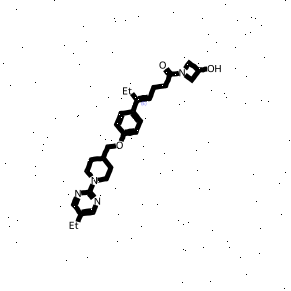 CC/C(=C\CCC(=O)N1CC(O)C1)c1ccc(OCC2CCN(c3ncc(CC)cn3)CC2)cc1